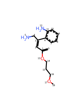 C=C(/C=C(/CN)c1ccccc1N)OCCCOC